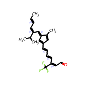 C/C=C/C=C(\C=C1C=C(/C=C/C=C/C(=C\C=O)C(F)(F)F)C=C/1C)C(C)C